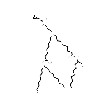 CCCCCCCCC(CC)OC(=O)CCCCCCCN(CCCCCCCC(=O)OC(CCCCCCCC)CCCCCCCC)CCCSNC1CC1